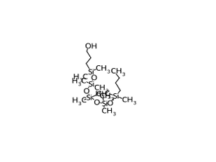 CCCC[Si](C)(C)O[Si](C)(C)O[Si](C)(C)O[Si](C)(C)O[Si](C)(C)CCCO